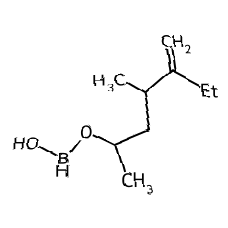 C=C(CC)C(C)CC(C)OBO